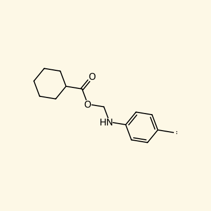 [CH]c1ccc(NCOC(=O)C2CCCCC2)cc1